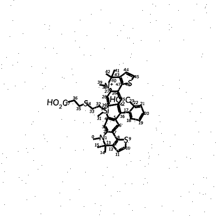 CN1c2cc3c(cc2-c2sccc2C1(C)C)C(c1ccccc1C(=O)O)=c1cc2c(cc1[Si]3(C)CCSCCC(=O)O)=[N+](C)C(C)(C)c1ccsc1-2